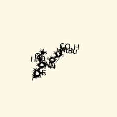 CC(C)(C)N(C(=O)O)c1ccc(-c2ccc3c(c2)ncn3-c2cc(NS(=O)(=O)C3CC3)cc(-c3ccc(F)cc3F)c2)cn1